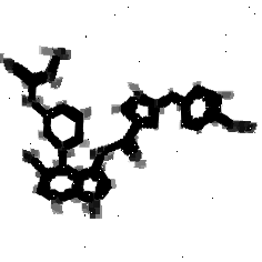 COc1ccc(Cn2cc(C(=O)Nc3c[nH]c4ncc(Br)c(N5CCCC(NC(=O)OC(C)(C)C)C5)c34)cn2)cc1